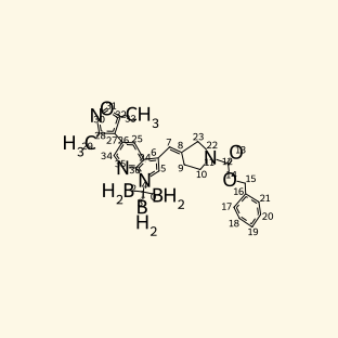 BC(B)(B)n1cc(C=C2CCN(C(=O)OCc3ccccc3)CC2)c2cc(-c3c(C)noc3C)cnc21